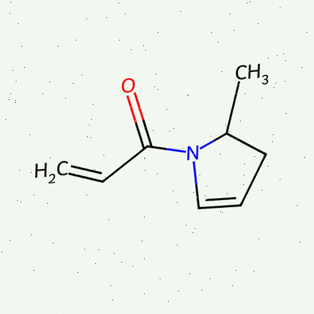 C=CC(=O)N1C=CCC1C